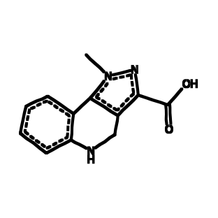 Cn1nc(C(=O)O)c2c1-c1ccccc1NC2